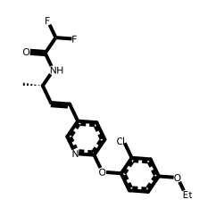 CCOc1ccc(Oc2ccc(/C=C/[C@H](C)NC(=O)C(F)F)cn2)c(Cl)c1